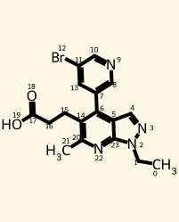 CCn1ncc2c(-c3cncc(Br)c3)c(CCC(=O)O)c(C)nc21